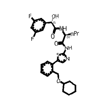 CCC[C@H](NC(=O)[C@@H](O)c1cc(F)cc(F)c1)C(=O)Nc1ncc(-c2ccccc2COC2CCCCC2)s1